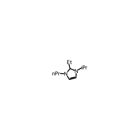 CCCN1C=CN(C(C)C)C1CC